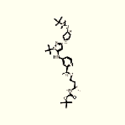 C[C@H](OCC[C@H](C)NC(=O)OC(C)(C)C)c1cc(Nc2cc([C@H]3CC[C@@H](O[Si](C)(C)C(C)(C)C)C3)nn2C(C)(C)C)ccn1